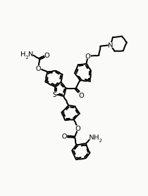 NC(=O)Oc1ccc2c(C(=O)c3ccc(OCCN4CCCCC4)cc3)c(-c3ccc(OC(=O)c4ccccc4N)cc3)sc2c1